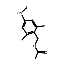 CC(=O)OCc1c(C)cc(NI)cc1C